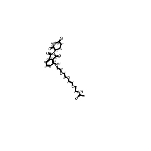 CC(=O)NCCOCCOCCOCCNc1cccc2c1C(=O)N(C1CCC(=O)NC1=O)C2=O